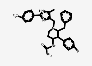 Cc1[nH]c(-c2ccc(C(F)(F)F)cc2)nc1CN1CCC(NC(N)=O)C(c2ccc(F)cc2)C1Cc1ccccc1